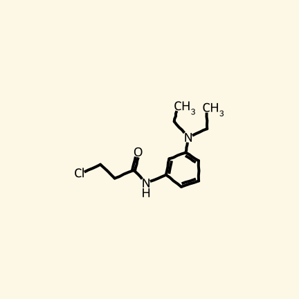 CCN(CC)c1cccc(NC(=O)CCCl)c1